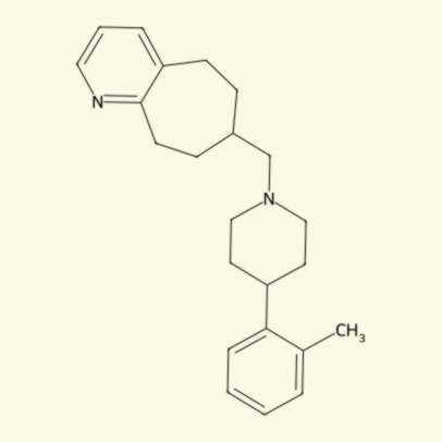 Cc1ccccc1C1CCN(CC2CCc3cccnc3CC2)CC1